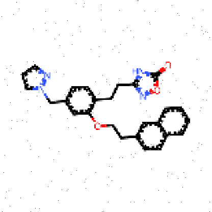 O=c1[nH]c(CCc2ccc(Cn3cccn3)cc2OCCc2ccc3ccccc3c2)no1